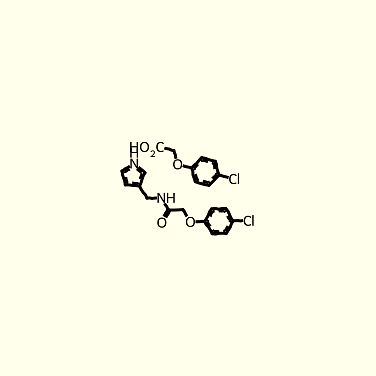 O=C(COc1ccc(Cl)cc1)NCc1cc[nH]c1.O=C(O)COc1ccc(Cl)cc1